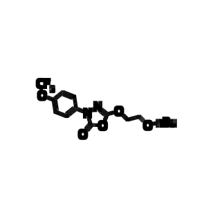 CCCCOCCOc1nn(-c2ccc(OC(F)(F)F)cc2)c(=O)o1